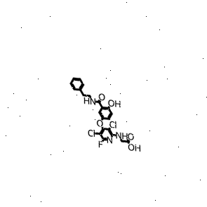 O=C(O)CNc1nc(F)c(Cl)c(Oc2ccc(O)c(C(=O)NCCc3ccccc3)c2)c1Cl